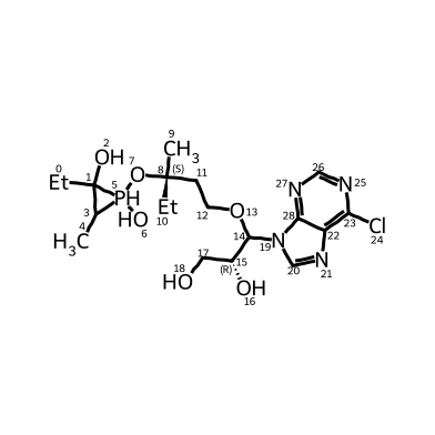 CCC1(O)C(C)[PH]1(O)O[C@@](C)(CC)CCOC([C@H](O)CO)n1cnc2c(Cl)ncnc21